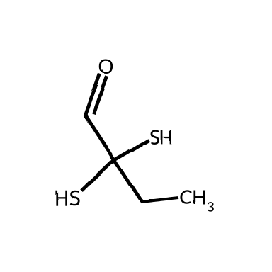 CCC(S)(S)C=O